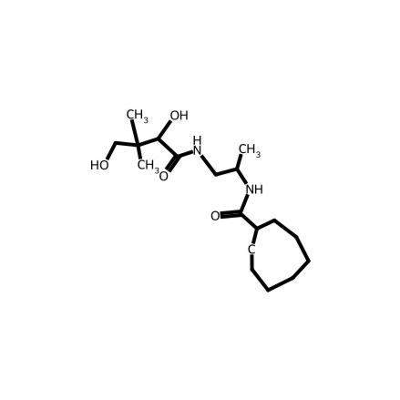 CC(CNC(=O)C(O)C(C)(C)CO)NC(=O)C1CCCCCCC1